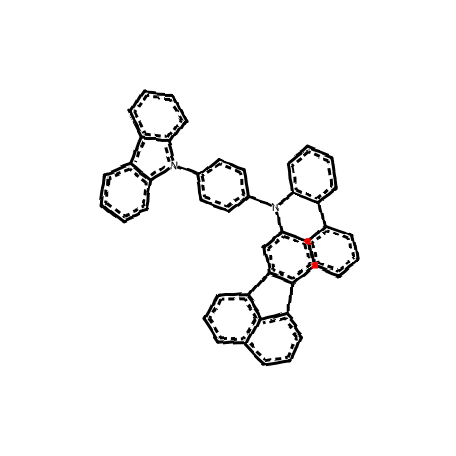 c1ccc(-c2ccccc2N(c2ccc(-n3c4ccccc4c4ccccc43)cc2)c2ccc3c(c2)-c2cccc4cccc-3c24)cc1